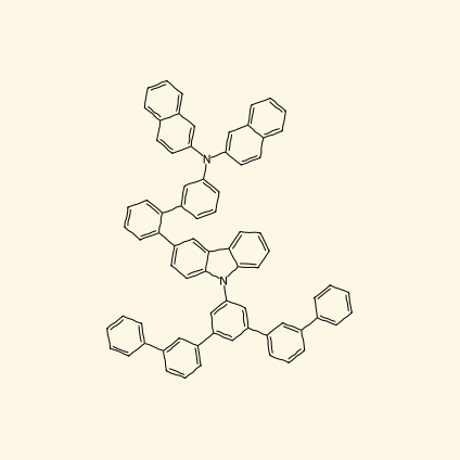 c1ccc(-c2cccc(-c3cc(-c4cccc(-c5ccccc5)c4)cc(-n4c5ccccc5c5cc(-c6ccccc6-c6cccc(N(c7ccc8ccccc8c7)c7ccc8ccccc8c7)c6)ccc54)c3)c2)cc1